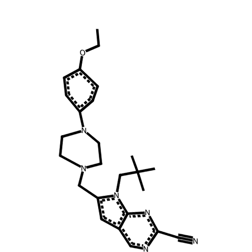 CCOc1ccc(N2CCN(Cc3cc4cnc(C#N)nc4n3CC(C)(C)C)CC2)cc1